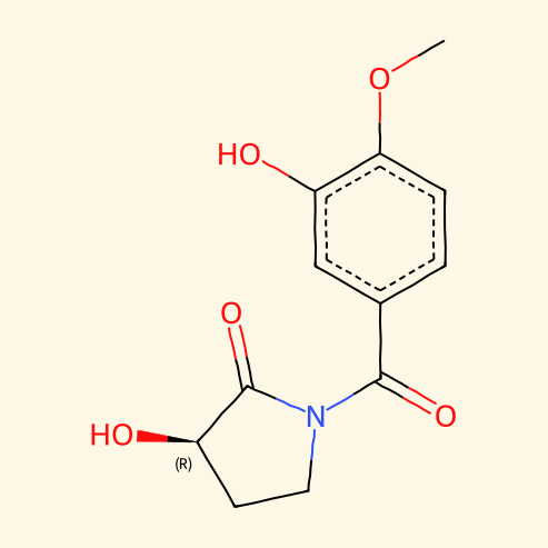 COc1ccc(C(=O)N2CC[C@@H](O)C2=O)cc1O